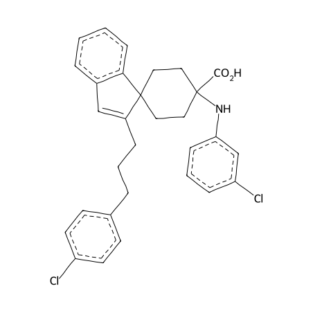 O=C(O)C1(Nc2cccc(Cl)c2)CCC2(CC1)C(CCCc1ccc(Cl)cc1)=Cc1ccccc12